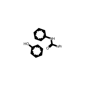 CCCC(=O)Nc1ccccc1.Oc1ccccc1